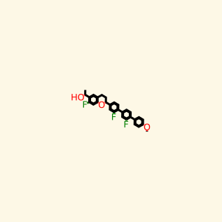 COc1ccc(-c2ccc(-c3ccc(C4CCc5cc(C(C)O)c(F)cc5O4)cc3F)cc2F)cc1